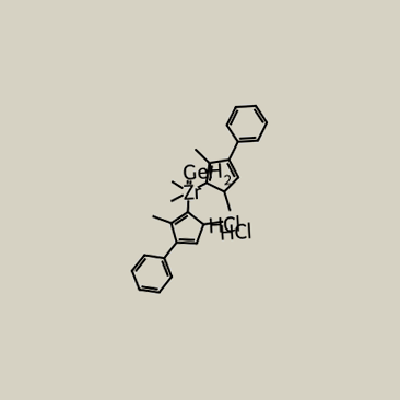 CC1=[C]([Zr]([CH3])([CH3])(=[GeH2])[C]2=C(C)C(c3ccccc3)=CC2C)C(C)C=C1c1ccccc1.Cl.Cl